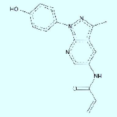 C=CC(=O)Nc1cnc2c(c1)c(C)nn2-c1ccc(O)cc1